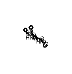 O=C(/C=C/c1cnc(N[C@H](COCc2ccccc2)C(=O)NCC2CCCCC2)cn1)NOC1CCCCO1